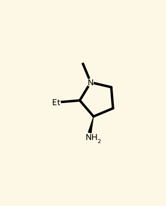 CCC1[C@H](N)CCN1C